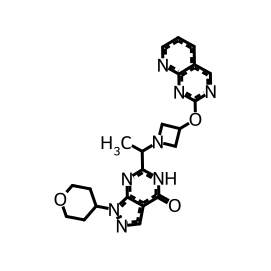 CC(c1nc2c(cnn2C2CCOCC2)c(=O)[nH]1)N1CC(Oc2ncc3cccnc3n2)C1